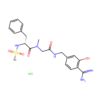 CCS(=O)(=O)N[C@H](Cc1ccccc1)C(=O)N(C)CC(=O)NCc1ccc(C(=N)N)c(O)c1.Cl